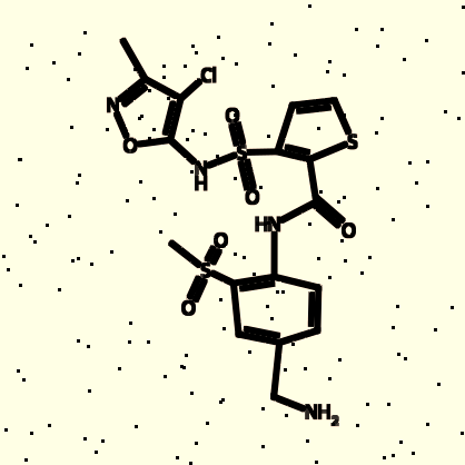 Cc1noc(NS(=O)(=O)c2ccsc2C(=O)Nc2ccc(CN)cc2S(C)(=O)=O)c1Cl